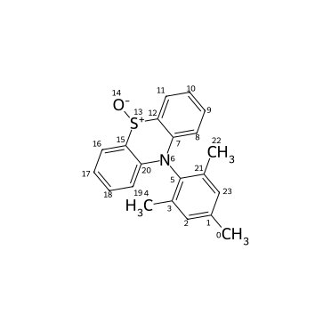 Cc1cc(C)c(N2c3ccccc3[S+]([O-])c3ccccc32)c(C)c1